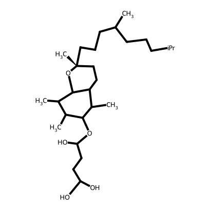 CC(C)CCCC(C)CCC[C@]1(C)CCC2C(C)C(OC(O)CCC(O)O)C(C)C(C)C2O1